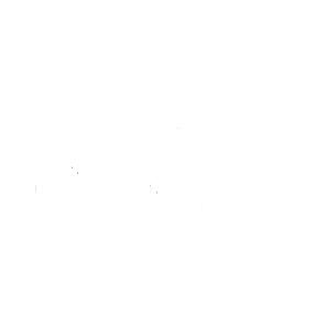 CN(C)C1CCN(C[B]c2ccccc2)C1.O.O